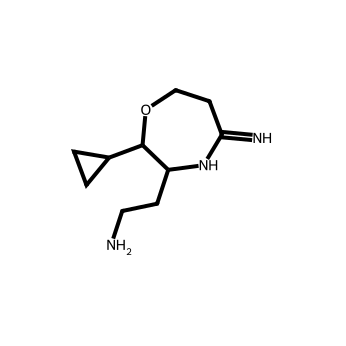 N=C1CCOC(C2CC2)C(CCN)N1